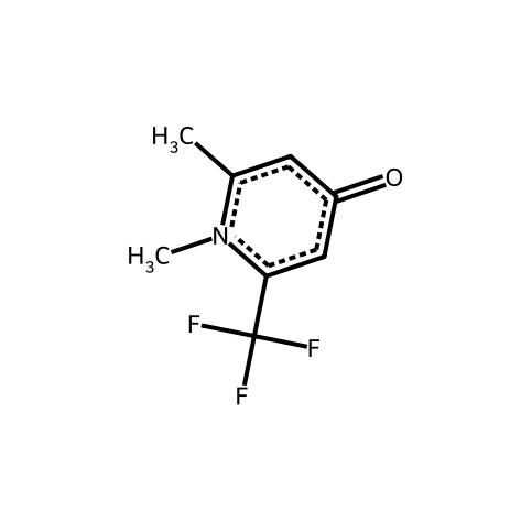 Cc1cc(=O)cc(C(F)(F)F)n1C